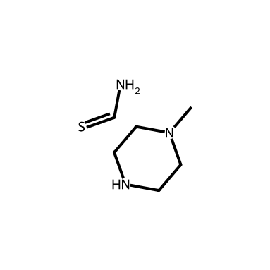 CN1CCNCC1.NC=S